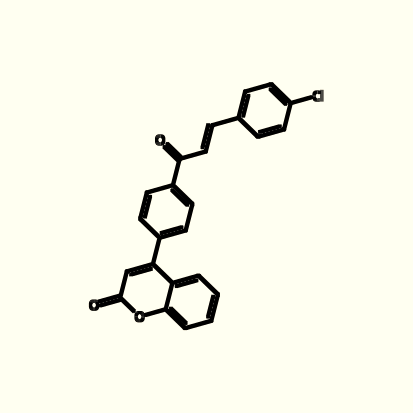 O=C(C=Cc1ccc(Cl)cc1)c1ccc(-c2cc(=O)oc3ccccc23)cc1